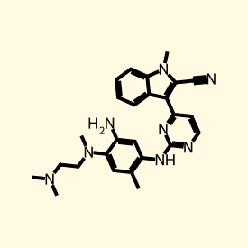 Cc1cc(N(C)CCN(C)C)c(N)cc1Nc1nccc(-c2c(C#N)n(C)c3ccccc23)n1